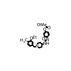 CCOc1cc(CN2CCC(Nc3nc4ccc(OC(=O)OC)cc4o3)CC2)ccc1C